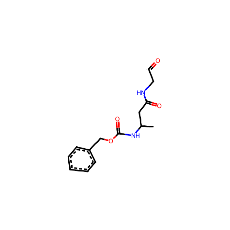 CC(CC(=O)NC[C]=O)NC(=O)OCc1ccccc1